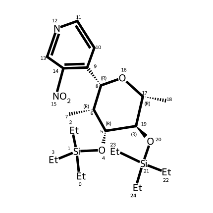 CC[Si](CC)(CC)O[C@@H]1[C@H](C)[C@H](c2ccncc2[N+](=O)[O-])O[C@H](C)[C@H]1O[Si](CC)(CC)CC